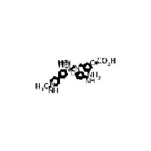 CC(=N)N1CCC(c2ccc(NC(=O)CN(Cc3cccc(OCC(=O)O)c3)c3cccc(C(=N)N)c3)cc2)CC1.Cl.Cl